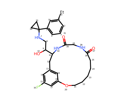 CCc1cccc(C2(NCC(O)C3Cc4cc(F)cc(c4)OCCCCCC(=O)NCC(=O)N3)CC2)c1